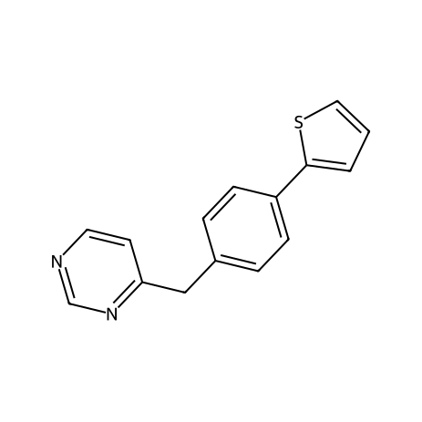 c1csc(-c2ccc(Cc3ccncn3)cc2)c1